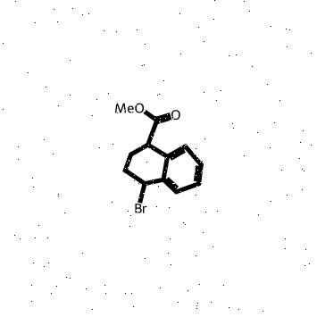 COC(=O)C1CCC(Br)c2ccccc21